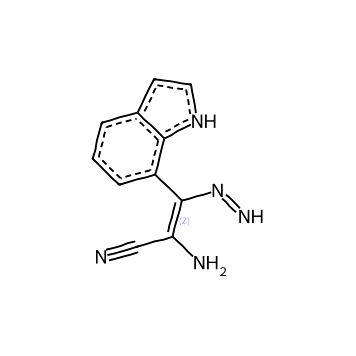 N#C/C(N)=C(/N=N)c1cccc2cc[nH]c12